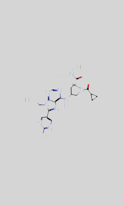 CCn1c(-c2cnc(C)nc2)nc2c(NC3C[C@H](C(=O)N(C)C)N(C(=O)C4CC4)C3)ncnc21